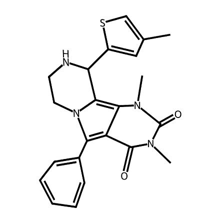 Cc1csc(C2NCCn3c(-c4ccccc4)c4c(=O)n(C)c(=O)n(C)c4c32)c1